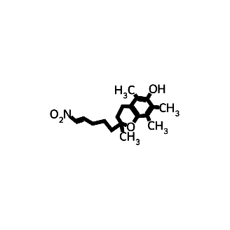 Cc1c(C)c2c(c(C)c1O)CCC(C)(CCCC=C[N+](=O)[O-])O2